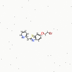 BrCCOc1ccc2nc(Cc3ccccn3)sc2c1